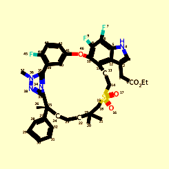 CCOC(=O)Cc1c[nH]c2c(F)c(F)c3c(c12)CCS(=O)(=O)CC(C)(C)CCC[C@](C)(c1ccccc1)c1nc(n(C)n1)-c1cc(ccc1F)O3